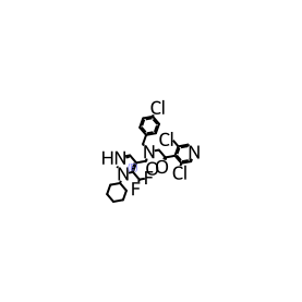 CN(/C(=C(\C=N)C(=O)N(CC(=O)c1c(Cl)cncc1Cl)Cc1ccc(Cl)cc1)C(F)F)C1CCCCC1